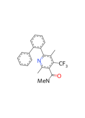 CNC(=O)c1c(C)nc(-c2ccccc2-c2ccccc2)c(C)c1C(F)(F)F